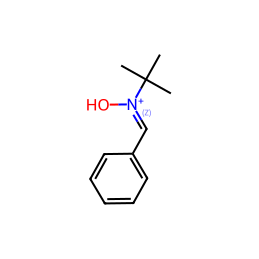 CC(C)(C)/[N+](O)=C/c1ccccc1